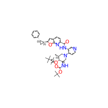 C[C@H]1CN(c2ccncc2NC(=O)c2ccc3cc([C@H]4C[C@@H]4c4ccccc4)oc3n2)C[C@@H](NC(=O)OC(C)(C)C)C1O[Si](C)(C)C(C)(C)C